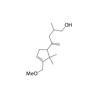 C=C(CC(C)CO)C1CC=C(COC)C1(C)C